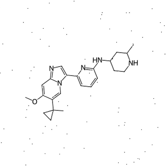 COc1cc2ncc(-c3cccc(NC4CCNC(C)C4)n3)n2cc1C1(C)CC1